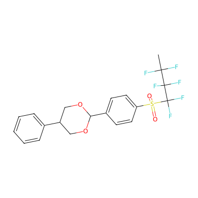 CC(F)(F)C(F)(F)C(F)(F)S(=O)(=O)c1ccc(C2OCC(c3ccccc3)CO2)cc1